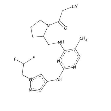 Cc1cnc(Nc2cnn(CC(F)F)c2)nc1NCC1CCCN1C(=O)CC#N